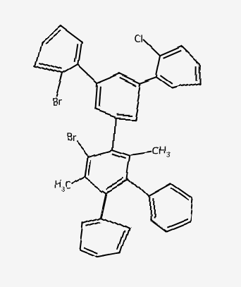 Cc1c(Br)c(-c2cc(-c3ccccc3Cl)cc(-c3ccccc3Br)c2)c(C)c(-c2ccccc2)c1-c1ccccc1